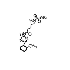 Cc1ccccc1-c1cnc(NC(=O)CCCCNS(=O)(=O)C(C)(C)C)cn1